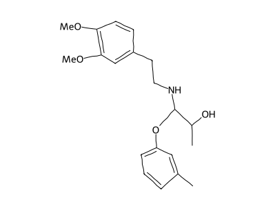 COc1ccc(CCNC(Oc2cccc(C)c2)C(C)O)cc1OC